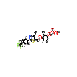 COC(=O)COc1cccc(OCc2sc(-c3ccc(C(F)(F)F)cc3)nc2C)c1C